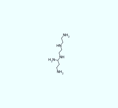 NCCNCCNC(N)CCN